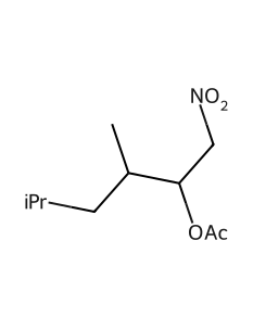 CC(=O)OC(C[N+](=O)[O-])C(C)CC(C)C